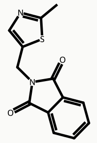 Cc1ncc(CN2C(=O)c3ccccc3C2=O)s1